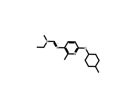 CCN(C)/C=N/c1ccc(OC2CCC(C)CC2)nc1C